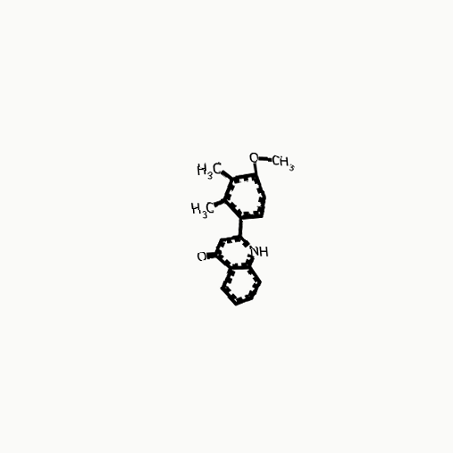 COc1ccc(-c2cc(=O)c3ccccc3[nH]2)c(C)c1C